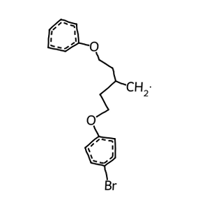 [CH2]C(CCOc1ccccc1)CCOc1ccc(Br)cc1